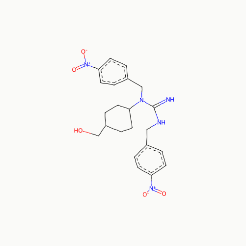 N=C(NCc1ccc([N+](=O)[O-])cc1)N(Cc1ccc([N+](=O)[O-])cc1)C1CCC(CO)CC1